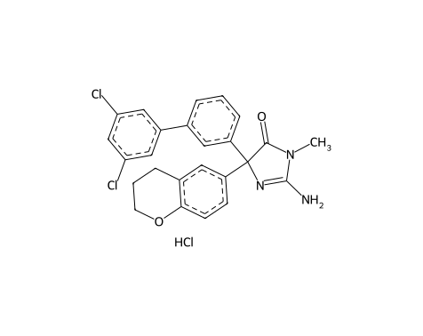 CN1C(=O)C(c2cccc(-c3cc(Cl)cc(Cl)c3)c2)(c2ccc3c(c2)CCCO3)N=C1N.Cl